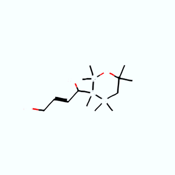 CC1(C)C[Si](C)(C)[Si](C)(C(O)C=CCO)[Si](C)(C)O1